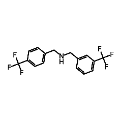 FC(F)(F)c1ccc(CNCc2cccc(C(F)(F)F)c2)cc1